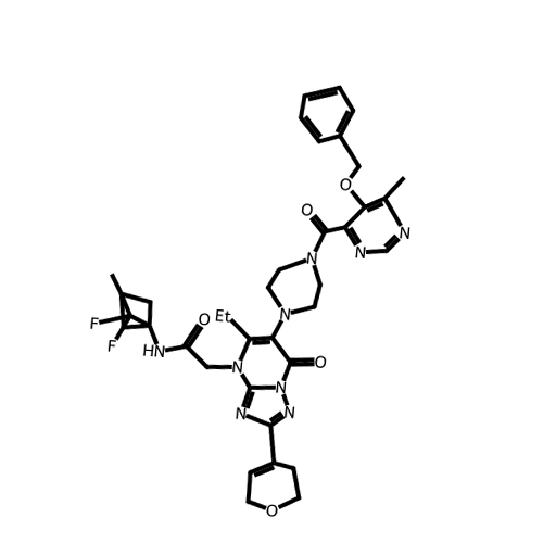 CCc1c(N2CCN(C(=O)c3ncnc(C)c3OCc3ccccc3)CC2)c(=O)n2nc(C3=CCOCC3)nc2n1CC(=O)NC12CC(C)(C1)C2(F)F